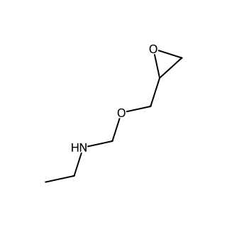 CCNCOCC1CO1